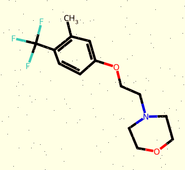 Cc1cc(OCCN2CCOCC2)ccc1C(F)(F)F